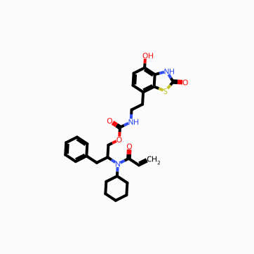 C=CC(=O)N(C1CCCCC1)C(COC(=O)NCCc1ccc(O)c2[nH]c(=O)sc12)Cc1ccccc1